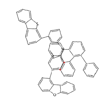 c1ccc(-c2ccccc2-c2c(-c3ccccc3)cccc2N(c2ccc(-c3cccc4oc5ccccc5c34)cc2)c2cccc(-c3cccc4c3sc3ccccc34)c2)cc1